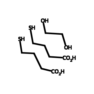 O=C(O)CCCS.O=C(O)CCCS.OCCO